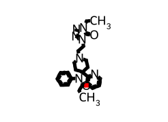 CCC(=O)N(c1ccccc1)C1(c2ccccn2)CCN(CCn2nnn(CC)c2=O)CC1